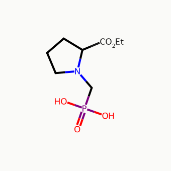 CCOC(=O)C1CCCN1CP(=O)(O)O